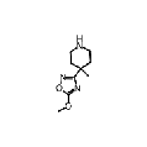 COc1nc(C2(C)CCNCC2)no1